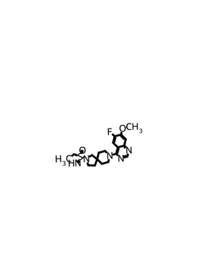 CCS(=N)(=O)N1CCC2(CCN(c3ncnc4cc(OC)c(F)cc34)CC2)C1